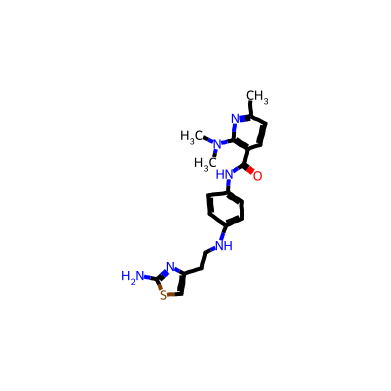 Cc1ccc(C(=O)Nc2ccc(NCCc3csc(N)n3)cc2)c(N(C)C)n1